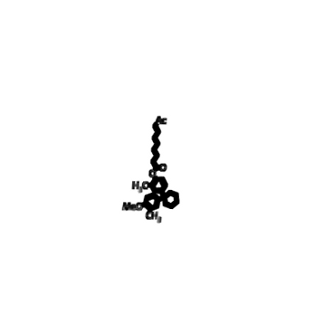 COc1ccc(C2(c3ccc(OC(=O)CCCCCCCC(C)=O)c(C)c3)CCCCC2)cc1C